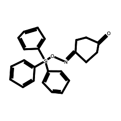 O=C1CCC(=NO[Si](c2ccccc2)(c2ccccc2)c2ccccc2)CC1